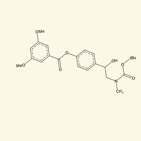 COc1cc(OC)cc(C(=O)Oc2ccc(C(O)CN(C)C(=O)OC(C)(C)C)cc2)c1